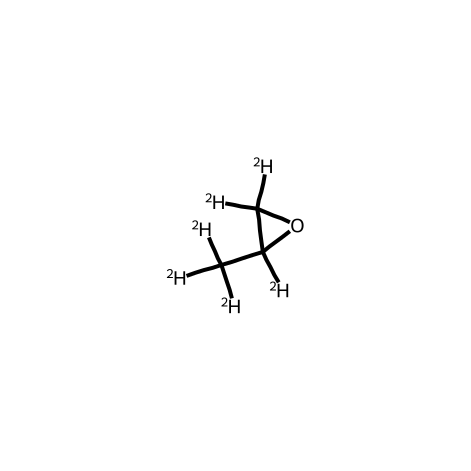 [2H]C([2H])([2H])C1([2H])OC1([2H])[2H]